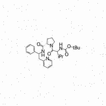 CC(C)C(NC(=O)OC(C)(C)C)C(=O)N1CCC[C@H]1C(=O)NC(Cc1ccccn1)c1ccccc1